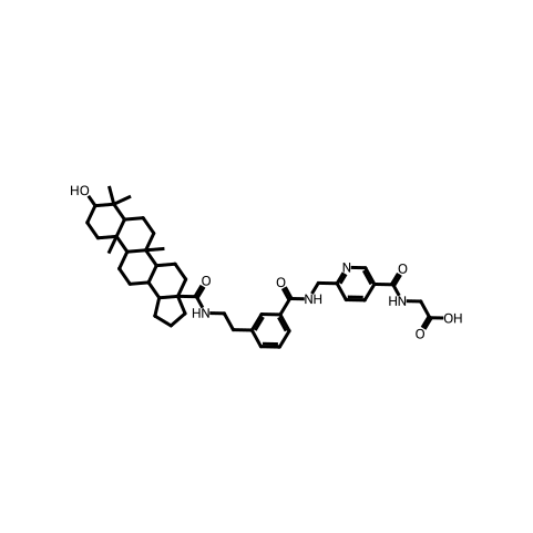 CC1(C)C(O)CCC2(C)C1CCC1(C)C3CCC4(C(=O)NCCc5cccc(C(=O)NCc6ccc(C(=O)NCC(=O)O)cn6)c5)CCCC4C3CCC12